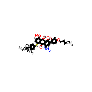 CCCCOc1ccc(-c2cc(N)c3c(c2O)C(=O)c2c(O)ccc(Sc4ccc(C(C)(C)C)cc4)c2C3=O)cc1